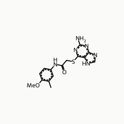 COc1ccc(NC(=O)CSc2nc(N)nc3nc[nH]c23)cc1C